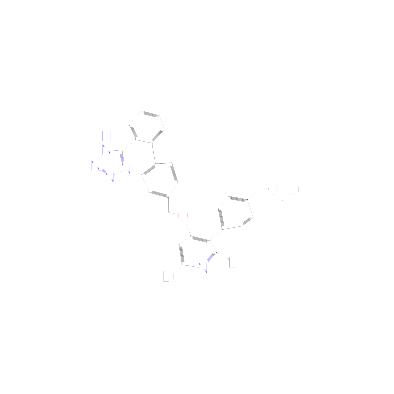 CCOC(=O)c1ccc(-c2c(OCc3ccc(-c4ccccc4-c4nnn[nH]4)cc3)cc(CC)nc2CC)cc1